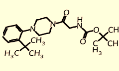 CC(C)(C)OC(=O)NCC(=O)N1CCN(c2ccccc2C(C)(C)C)CC1